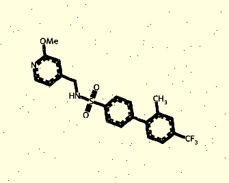 COc1cc(CNS(=O)(=O)c2ccc(-c3ccc(C(F)(F)F)cc3C)cc2)ccn1